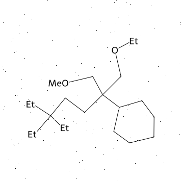 CCOCC(CCC(CC)(CC)CC)(COC)C1CCCCC1